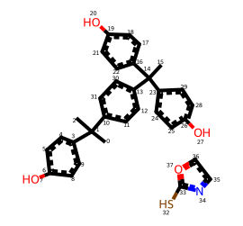 CC(C)(c1ccc(O)cc1)c1ccc(C(C)(c2ccc(O)cc2)c2ccc(O)cc2)cc1.Sc1ncco1